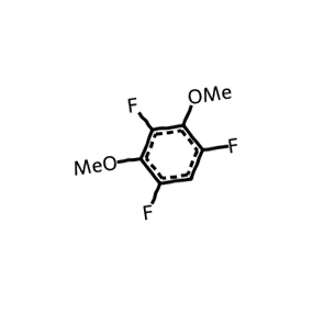 COc1c(F)cc(F)c(OC)c1F